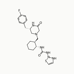 O=C1CN(C[C@@H]2CCCC[C@H]2NC(=O)NN2NC=CS2)C[C@H](Cc2ccc(F)cc2)N1